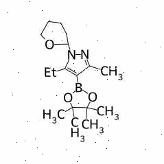 CCc1c(B2OC(C)(C)C(C)(C)O2)c(C)nn1C1CCCCO1